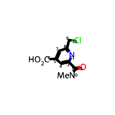 CNC(=O)c1cc(C(=O)O)cc(CCl)n1